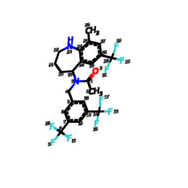 CC(=O)N(Cc1cc(C(F)(F)F)cc(C(F)(F)F)c1)C1CCCNc2c(C)cc(C(F)(F)F)cc21